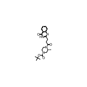 C[C@H]1CN(C(=O)OC(C)(C)C)CCN1C(=O)CCc1nc2ccccc2c(=O)[nH]1